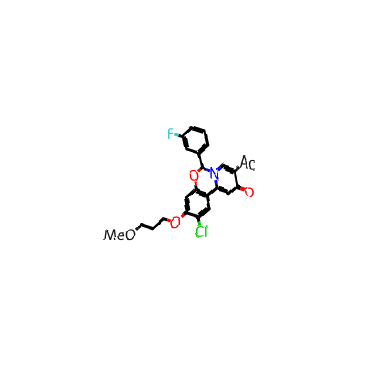 COCCCOc1cc2c(cc1Cl)-c1cc(=O)c(C(C)=O)cn1C(c1cccc(F)c1)O2